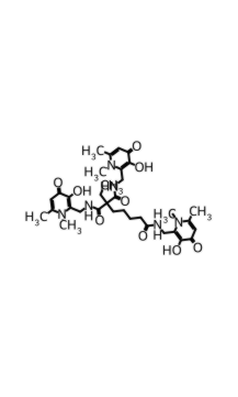 CCC(CCCCC(=O)NCc1c(O)c(=O)cc(C)n1C)(C(=O)NCc1c(O)c(=O)cc(C)n1C)C(=O)NCc1c(O)c(=O)cc(C)n1C